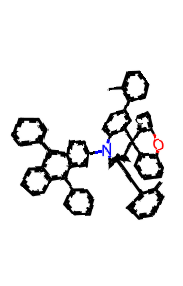 Cc1ccccc1-c1ccc2c(c1)C1(c3ccccc3Oc3ccccc31)c1cc(-c3ccccc3C)ccc1N2c1ccc2c(-c3ccccc3)c3ccccc3c(-c3ccccc3)c2c1